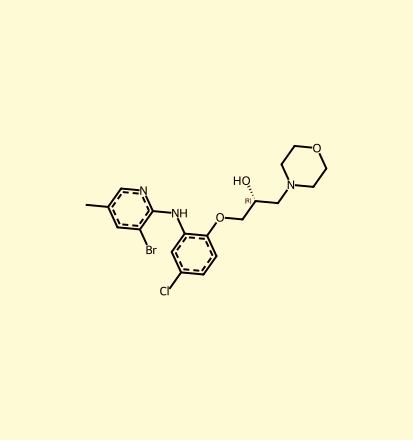 Cc1cnc(Nc2cc(Cl)ccc2OC[C@H](O)CN2CCOCC2)c(Br)c1